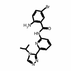 CC(C)n1cnnc1-c1cccc(NC(=O)c2cc(Br)ccc2N)n1